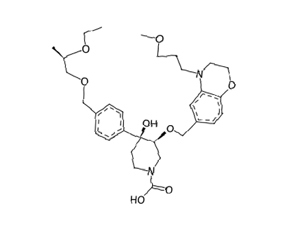 CCO[C@H](C)COCc1ccc([C@@]2(O)CCN(C(=O)O)C[C@@H]2OCc2ccc3c(c2)N(CCCOC)CCO3)cc1